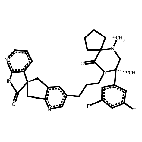 C[C@@]1(c2cc(F)cc(F)c2)CN([11CH3])C2(CCCC2)C(=O)N1CCCc1cnc2c(c1)C[C@@]1(C2)C(=O)Nc2ncccc21